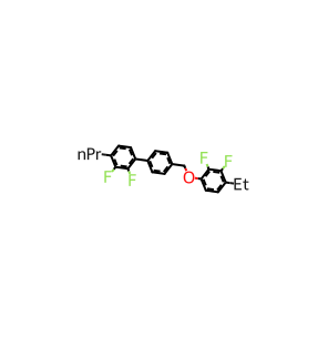 CCCc1ccc(-c2ccc(COc3ccc(CC)c(F)c3F)cc2)c(F)c1F